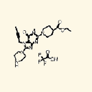 CC#CCn1c(N2CCNCC2)nc2nc(N3CCC(C(=O)OCC)CC3)n(C)c(=O)c21.O=C(O)C(F)(F)F